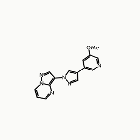 COc1cncc(-c2cnn(-c3cnn4cccnc34)c2)c1